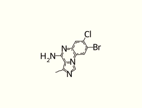 Cc1ncn2c1c(N)nc1cc(Cl)c(Br)cc12